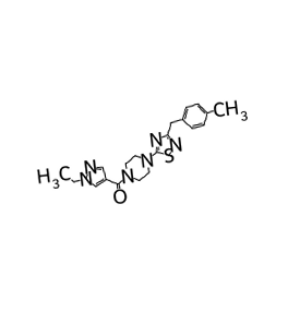 CCn1cc(C(=O)N2CCN(c3nc(Cc4ccc(C)cc4)ns3)CC2)cn1